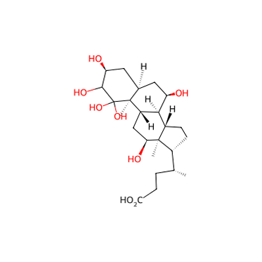 C[C@H](CCC(=O)O)[C@H]1CC[C@H]2[C@@H]3[C@H](O)C[C@@H]4C[C@H](O)C(O)C(O)(O)[C@]4(C)[C@H]3C[C@H](O)[C@]12C